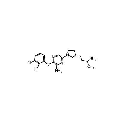 CC(N)CC[C@H]1CCN(c2cnc(Sc3cccc(Cl)c3Cl)c(N)n2)C1